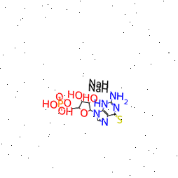 Nc1nc(=S)c2ncn(C3OC(COP(=O)(O)O)C(O)C3O)c2[nH]1.[NaH].[NaH]